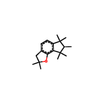 CC1C(C)(C)c2ccc3c(c2C1(C)C)OC(C)(C)C3